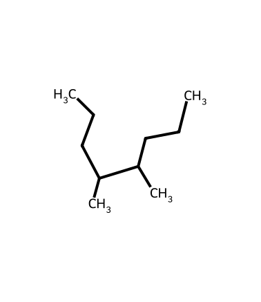 CCCC(C)C(C)CCC